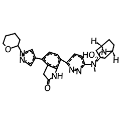 CN(c1ccc(-c2ccc(-c3cnn(C4CCCCO4)c3)c3c2NC(=O)C3)nn1)[C@@H]1C[C@H]2CC[C@@H](C1)N2C(=O)O